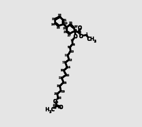 CCOC(=O)C1(OCCCCCCCCCCCCCCCCOC(C)=O)C=CC(c2ccccc2)C=C1